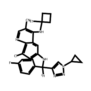 [2H]C(Nc1cc(Cl)c2ncc(C#N)c(NC3(CC)CCC3)c2c1)(c1ccc(F)cc1)c1cn(C2CC2)nn1